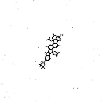 Cc1cc2c3c(c(C)cc2c2c1-c1sc(Br)cc1C2(CC(C)C)CC(C)C)-c1sc2cc(B4OC(C)(C)C(C)(C)O4)ccc2c1C3(CC(C)C)CC(C)C